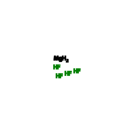 F.F.F.F.[MgH2]